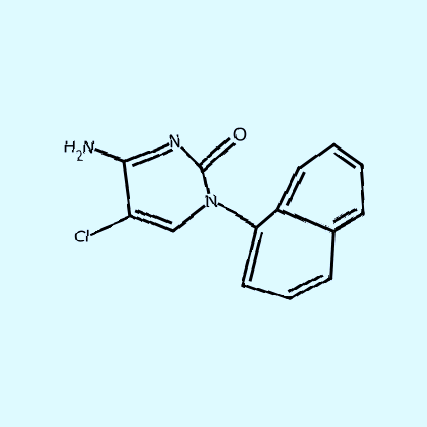 Nc1nc(=O)n(-c2cccc3ccccc23)cc1Cl